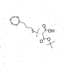 CC(C)(C)OC(=O)[C@@H](C(=O)O)C(C)(C)SCCCc1ccccc1